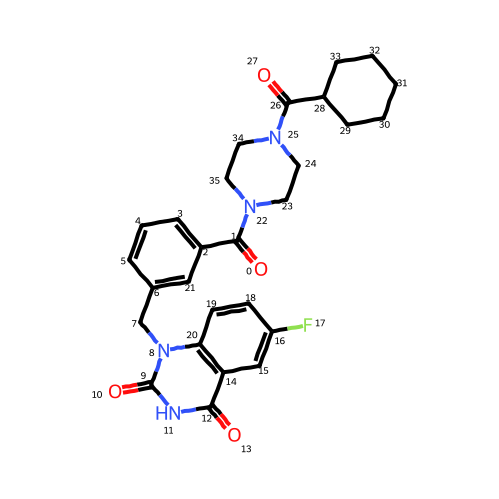 O=C(c1cccc(Cn2c(=O)[nH]c(=O)c3cc(F)ccc32)c1)N1CCN(C(=O)C2CCCCC2)CC1